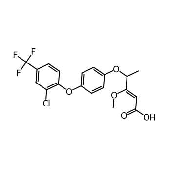 COC(=CC(=O)O)C(C)Oc1ccc(Oc2ccc(C(F)(F)F)cc2Cl)cc1